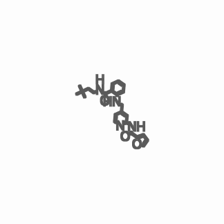 CC(C)(C)CCNC(=O)c1ccccc1NCc1ccnc(NC(=O)c2ccco2)c1